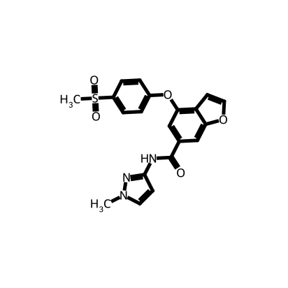 Cn1ccc(NC(=O)c2cc(Oc3ccc(S(C)(=O)=O)cc3)c3ccoc3c2)n1